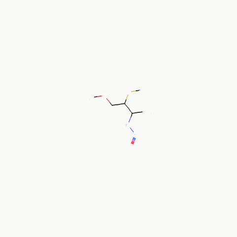 COCC(SC)C(C)NN=O